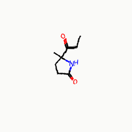 CCC(=O)C1(C)CCC(=O)N1